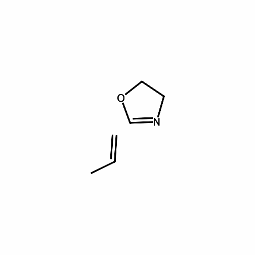 C1=NCCO1.C=CC